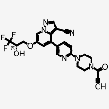 C#CC(=O)N1CCN(c2ccc(-c3cc(OC[C@H](O)C(F)(F)F)cn4ncc(C#N)c34)cn2)CC1